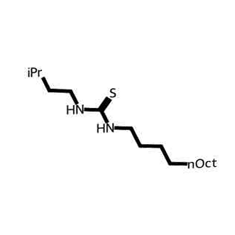 CCCCCCCCCCCCNC(=S)NCCC(C)C